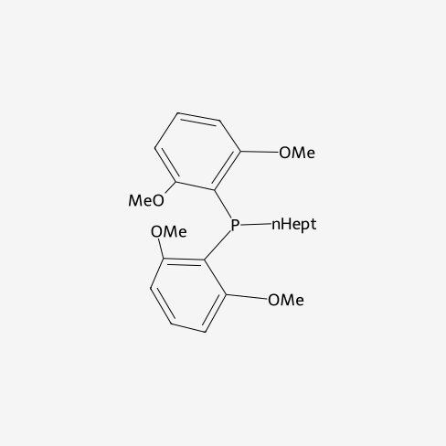 CCCCCCCP(c1c(OC)cccc1OC)c1c(OC)cccc1OC